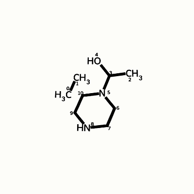 CC.CC(O)N1CCNCC1